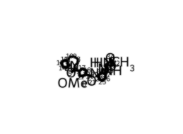 COc1cc(C(=O)N2CCCCc3ccccc32)ccc1C(=O)Nc1cccc2[nH]c(NS(C)(=O)=O)nc12